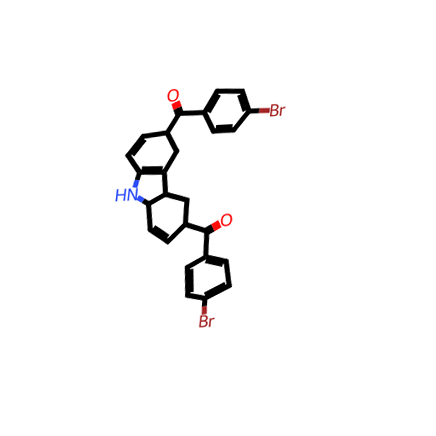 O=C(c1ccc(Br)cc1)C1C=CC2=C(C1)C1CC(C(=O)c3ccc(Br)cc3)C=CC1N2